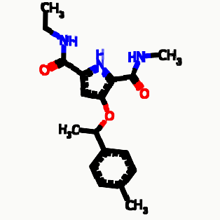 CCNC(=O)c1cc(OC(C)c2ccc(C)cc2)c(C(=O)NC)[nH]1